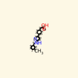 Cc1cccc(CNc2ccc(C3=CCC(CC(=O)O)CC3)cn2)c1